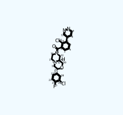 O=C(c1cccc(-c2ccnnc2)c1Cl)N1CCN2C[C@@H](c3ccc(F)c(Cl)c3)OC[C@@H]2C1